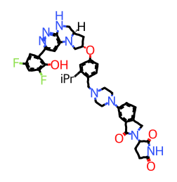 CC(C)c1cc(O[C@@H]2C[C@@H]3CNc4nnc(-c5cc(F)cc(F)c5O)cc4N3C2)ccc1CN1CCN(c2ccc3c(c2)C(=O)N(C2CCC(=O)NC2=O)C3)CC1